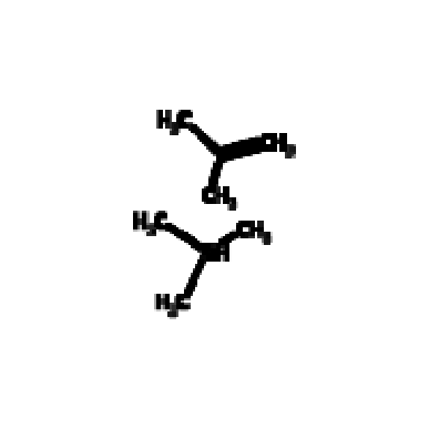 C=C(C)C.C[SiH](C)C